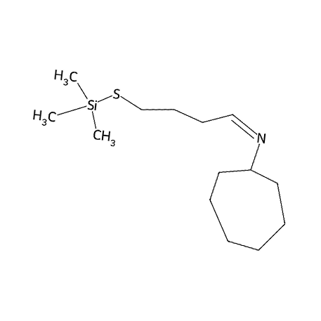 C[Si](C)(C)SCCC/C=N\C1CCCCCC1